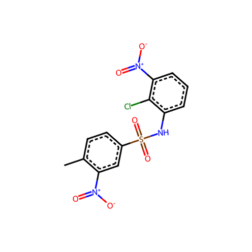 Cc1ccc(S(=O)(=O)Nc2cccc([N+](=O)[O-])c2Cl)cc1[N+](=O)[O-]